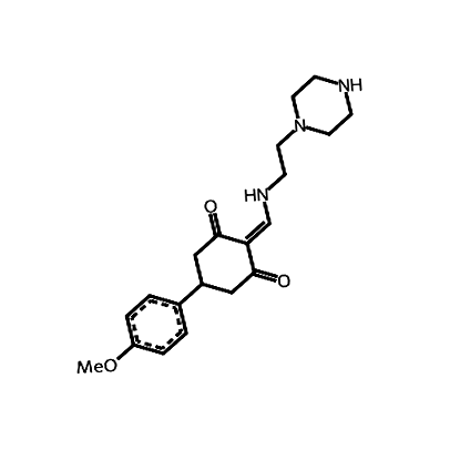 COc1ccc(C2CC(=O)C(=CNCCN3CCNCC3)C(=O)C2)cc1